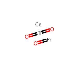 [Ce].[O]=[Pr].[O]=[Ti]=[O]